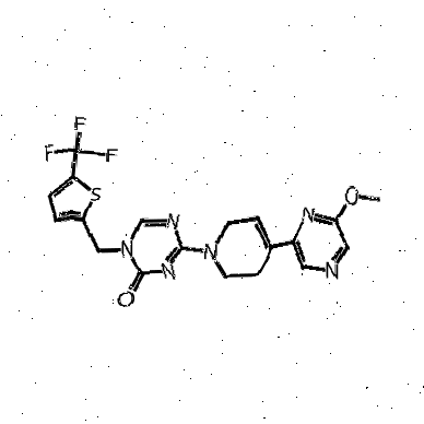 COc1cncc(C2=CCN(c3ncn(Cc4ccc(C(F)(F)F)s4)c(=O)n3)CC2)n1